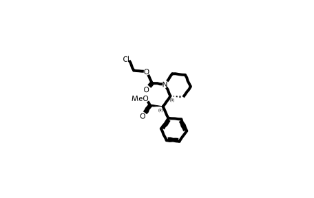 COC(=O)[C@H](c1ccccc1)[C@H]1CCCCN1C(=O)OCCl